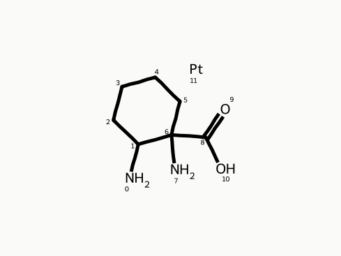 NC1CCCCC1(N)C(=O)O.[Pt]